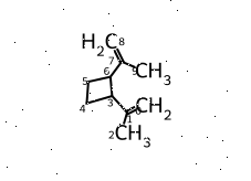 C=C(C)C1CCC1C(=C)C